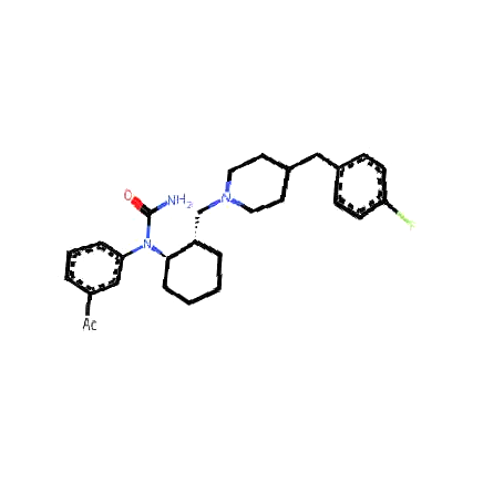 CC(=O)c1cccc(N(C(N)=O)[C@@H]2CCCC[C@H]2CN2CCC(Cc3ccc(F)cc3)CC2)c1